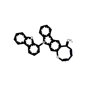 C=C1/C=C\C=C/Oc2cc3c(cc21)c1ccccc1n3-c1cccc2c1oc1ccccc12